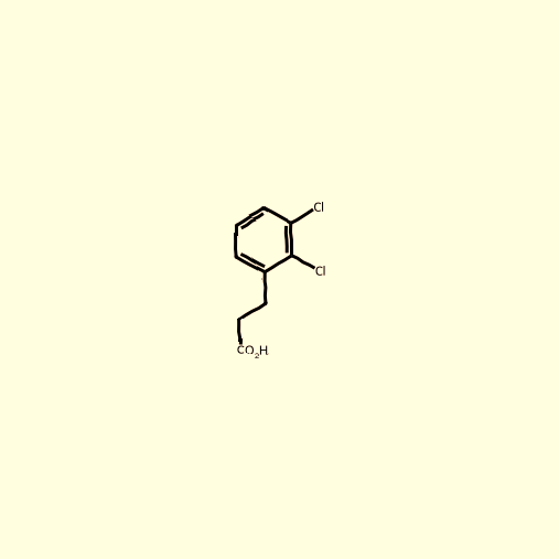 O=C(O)CCc1cccc(Cl)c1Cl